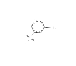 CS(=O)(=O)c1cncc(C#N)c1